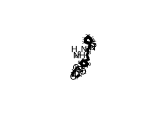 N.NC(CCCc1ccc(S(=O)(=O)N2CCOCC2)cc1)c1nsc2ccccc12